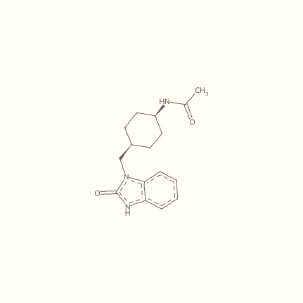 CC(=O)N[C@H]1CC[C@@H](Cn2c(=O)[nH]c3ccccc32)CC1